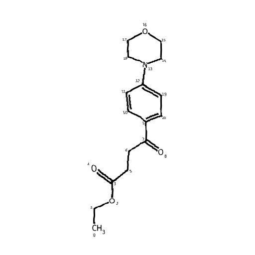 CCOC(=O)CCC(=O)c1ccc(N2CCOCC2)cc1